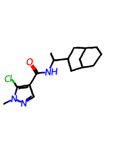 CC(NC(=O)c1cnn(C)c1Cl)C1CC2CCCC(C2)C1